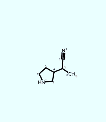 CC(C#N)C1CCNC1